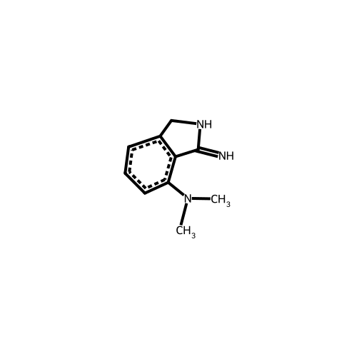 CN(C)c1cccc2c1C(=N)NC2